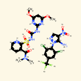 COc1cc(OC)nc(NC(=O)NS(=O)(=O)c2ncccc2C(=O)N(C)C)n1.Nc1c([N+](=O)[O-])cnn1-c1c(Cl)cc(C(F)(F)F)cc1Cl